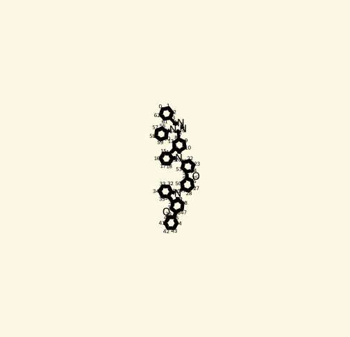 c1ccc(-c2nnc(-c3ccc4c(c3)c3ccccc3n4-c3ccc4oc5ccc(-n6c7ccccc7c7c8oc9ccccc9c8ccc76)cc5c4c3)n2-c2ccccc2)cc1